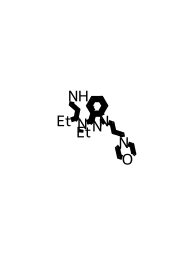 CCC(CCN)N(CC)c1nn(CCCN2CCOCC2)c2ccccc12